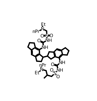 CCCN(CC)CC(C)CS(=O)(=O)NC(=O)Nc1c2c(cc3c1CC(C1CCc4cc5c(c(NC(=O)NS(=O)(=O)CN(CC)CCC)c41)CCC5)C3)CCC2